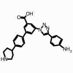 Nc1ccc(-c2cn(-c3cc(C(=O)O)cc(-c4ccc(C5CCNCC5)cc4)c3)nn2)cc1